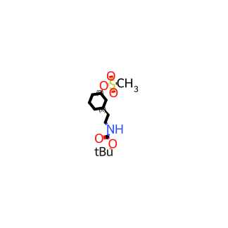 CC(C)(C)OC(=O)NCC[C@H]1CCC[C@@H](OS(C)(=O)=O)C1